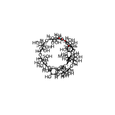 COc1cc2ccc1-c1ccc(cc1O)CSC[C@H]1O[C@@H]3O[C@H]4C(O)C(O)[C@H](O[C@@H]4CO)O[C@H]4C(O)C(O)[C@H](O[C@@H]4CO)O[C@H]4C(O)C(O)[C@@H](O[C@@H]5[C@@H](CO)O[C@H](O[C@H]6C(O)C(O)[C@H](O[C@@H]6CO)O[C@H]6C(O)C(O)[C@H](O[C@@H]6CO)O[C@H]1C(O)C3O)C(O)[C@@H]5O)O[C@@H]4CSC2